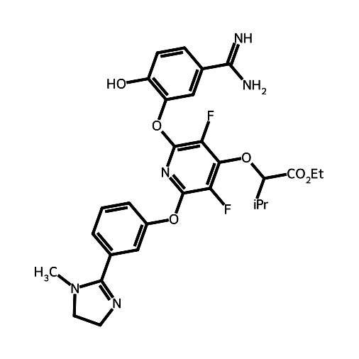 CCOC(=O)C(Oc1c(F)c(Oc2cccc(C3=NCCN3C)c2)nc(Oc2cc(C(=N)N)ccc2O)c1F)C(C)C